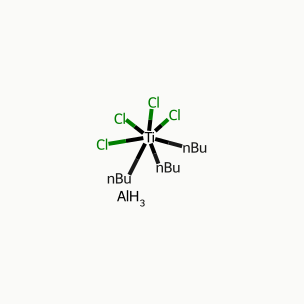 CCC[CH2][Ti]([Cl])([Cl])([Cl])([Cl])([CH2]CCC)[CH2]CCC.[AlH3]